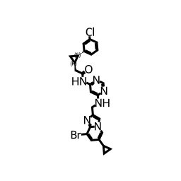 O=C(C[C@H]1C[C@@H]1c1cccc(Cl)c1)Nc1cc(NCc2cn3cc(C4CC4)cc(Br)c3n2)ncn1